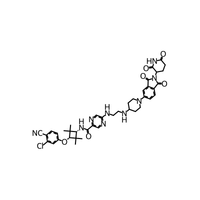 CC1(C)[C@H](NC(=O)c2cnc(NCCNC3CCN(c4ccc5c(c4)C(=O)N(C4CCC(=O)NC4=O)C5=O)CC3)cn2)C(C)(C)[C@H]1Oc1ccc(C#N)c(Cl)c1